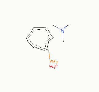 CN(C)C.O.Pc1ccccc1